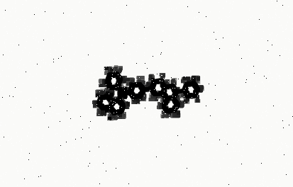 c1ccc(-c2cc3ccc(-c4ccc(N(c5ccccc5)c5cccc6ccccc56)cc4)cc3c3ccccc23)cc1